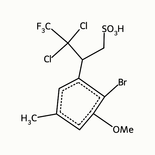 COc1cc(C)cc(C(CS(=O)(=O)O)C(Cl)(Cl)C(F)(F)F)c1Br